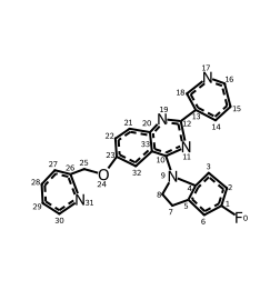 Fc1ccc2c(c1)CCN2c1nc(-c2cccnc2)nc2ccc(OCc3ccccn3)cc12